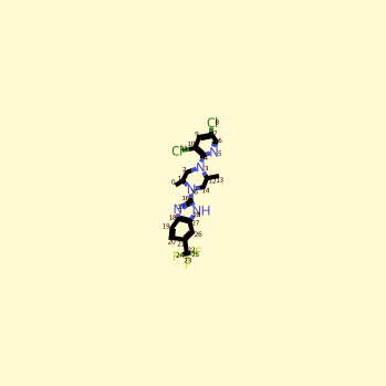 CC1CN(c2ncc(Cl)cc2Cl)C(C)CN1c1nc2ccc(C(F)(F)F)cc2[nH]1